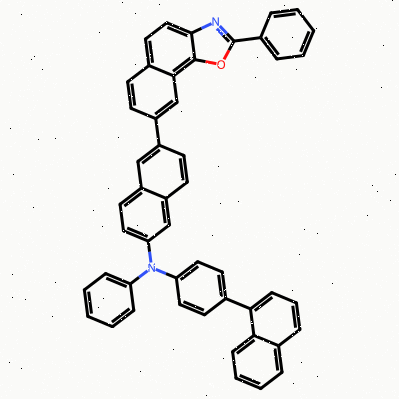 c1ccc(-c2nc3ccc4ccc(-c5ccc6cc(N(c7ccccc7)c7ccc(-c8cccc9ccccc89)cc7)ccc6c5)cc4c3o2)cc1